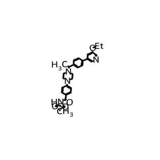 CCOc1cncc(-c2ccc(C(C)N3CCN(c4ccc(C(=O)NS(C)(=O)=O)cc4)CC3)cc2)c1